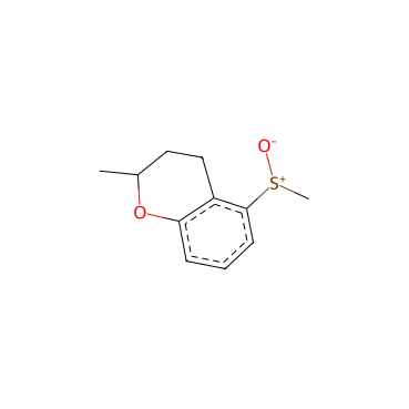 CC1CCc2c(cccc2[S+](C)[O-])O1